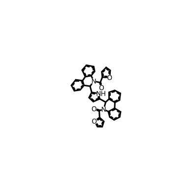 O=C(c1ccco1)N1c2ccccc2-c2ccccc2C1c1ccc(C2c3ccccc3-c3ccccc3N2C(=O)c2ccco2)[nH]1